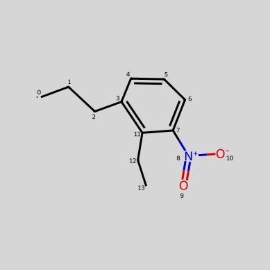 [CH2]CCc1cccc([N+](=O)[O-])c1CC